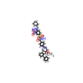 COC1(Cc2ccccc2-c2ccccc2)CCN(c2ccc(C(=O)NS(=O)(=O)c3ccc(NCC4CCCCC4)c([N+](=O)[O-])c3)cc2)CC1